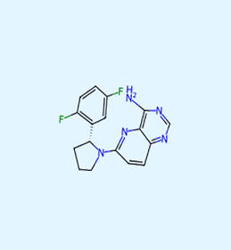 Nc1ncnc2ccc(N3CCC[C@@H]3c3cc(F)ccc3F)nc12